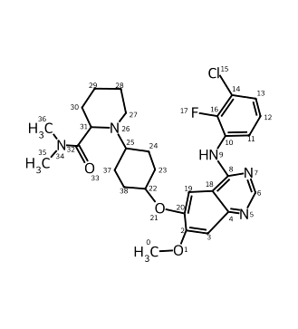 COc1cc2ncnc(Nc3cccc(Cl)c3F)c2cc1OC1CCC(N2CCCCC2C(=O)N(C)C)CC1